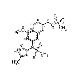 Cc1cc(N(c2cc3cc(COS(C)(=O)=O)ccc3c(OC(C)C)n2)S(C)(=O)=O)n[nH]1